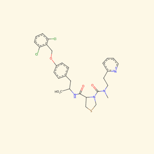 CN(CCc1ccccn1)C(=O)N1CSCC1C(=O)NC(Cc1ccc(OCc2c(Cl)cccc2Cl)cc1)C(=O)O